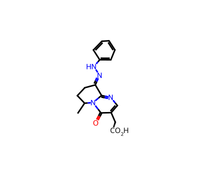 CC1CC/C(=N\Nc2ccccc2)c2ncc(CC(=O)O)c(=O)n21